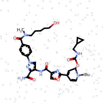 CN(CCCCCO)C(=O)c1ccc(-n2cc(NC(=O)c3coc(C4=CC(OC(=O)NCC5CC5)N(C(C)(C)C)C=C4)n3)c(C(N)=O)n2)cc1